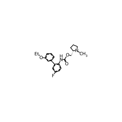 CCOc1cccc(-c2cc(F)ccc2NC(=O)OC[C@@H]2CCCN2C)c1